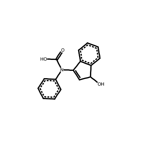 O=C(O)N(C1=CC(O)c2ccccc21)c1ccccc1